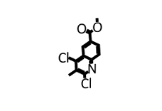 COC(=O)c1ccc2nc(Cl)c(C)c(Cl)c2c1